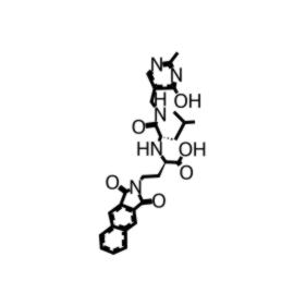 Cc1ncc(CNC(=O)[C@H](CC(C)C)N[C@H](CCN2C(=O)c3cc4ccccc4cc3C2=O)C(=O)O)c(O)n1